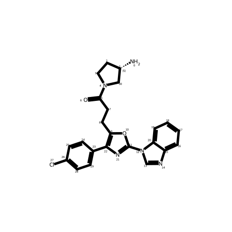 N[C@H]1CCN(C(=O)CCc2oc(-n3cnc4ccccc43)nc2-c2ccc(Cl)cc2)C1